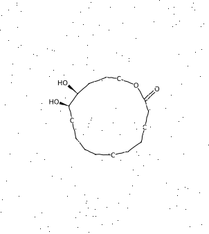 O=C1CCCCCCCCC[C@@H](O)[C@@H](O)CCCO1